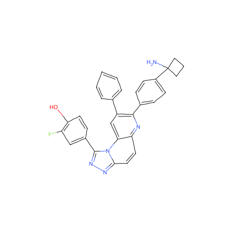 NC1(c2ccc(-c3nc4ccc5nnc(-c6ccc(O)c(F)c6)n5c4cc3-c3ccccc3)cc2)CCC1